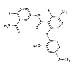 COc1cc(OC(F)(F)F)ccc1Oc1cnc(C(F)(F)F)c(F)c1C(=O)Nc1ccc(F)c(C(N)=O)c1